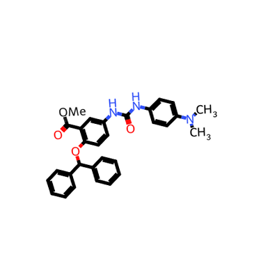 COC(=O)c1cc(NC(=O)Nc2ccc(N(C)C)cc2)ccc1OC(c1ccccc1)c1ccccc1